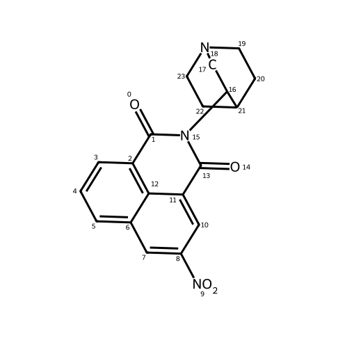 O=C1c2cccc3cc([N+](=O)[O-])cc(c23)C(=O)N1C1CN2CCC1CC2